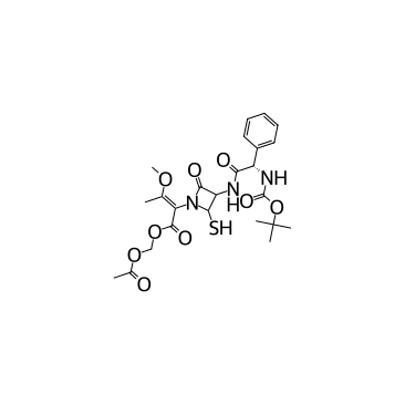 COC(C)=C(C(=O)OCOC(C)=O)N1C(=O)C(NC(=O)[C@@H](NC(=O)OC(C)(C)C)c2ccccc2)C1S